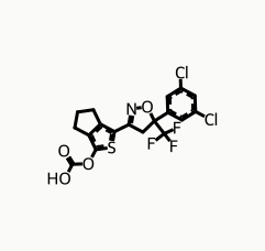 O=C(O)Oc1sc(C2=NOC(c3cc(Cl)cc(Cl)c3)(C(F)(F)F)C2)c2c1CCC2